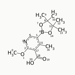 COc1ncc(B2OC(C)(C)C(C)(C)O2)c(C)c1C(=O)O